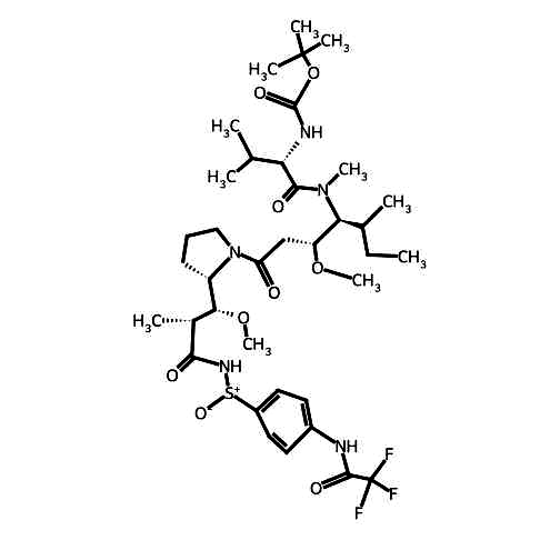 CCC(C)[C@@H]([C@@H](CC(=O)N1CCC[C@H]1[C@H](OC)[C@@H](C)C(=O)N[S+]([O-])c1ccc(NC(=O)C(F)(F)F)cc1)OC)N(C)C(=O)[C@@H](NC(=O)OC(C)(C)C)C(C)C